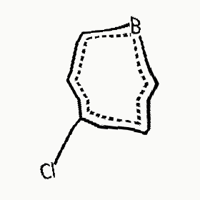 Clc1ccbcc1